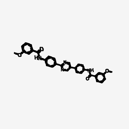 COc1cccc(C(=O)Nc2ccc(-c3cnc(-c4ccc(NC(=O)c5cccc(OC)c5)cc4)nc3)cc2)c1